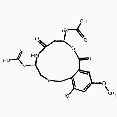 COc1cc(O)c2c(c1)C(=O)O[C@H](NC(=O)O)CC(=O)N[C@H](NC(=O)O)CSC2